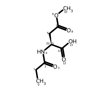 CCC(=O)N[C@@H](CC(=O)OC)C(=O)O